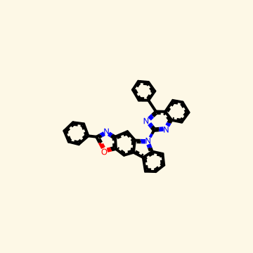 c1ccc(-c2nc3cc4c(cc3o2)c2ccccc2n4-c2nc(-c3ccccc3)c3ccccc3n2)cc1